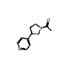 CC(=O)N1CCC(c2ccncc2)C1